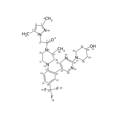 Cc1cc(C)n(CC(=O)N2CCN(c3ccc(C(F)(F)F)cc3-c3cnc(N4CCC(O)CC4)nc3)CC2C)n1